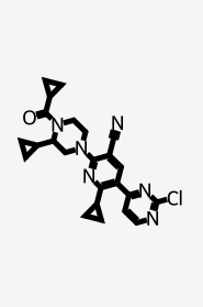 N#Cc1cc(-c2ccnc(Cl)n2)c(C2CC2)nc1N1CCN(C(=O)C2CC2)C(C2CC2)C1